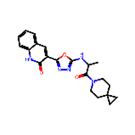 CC(Nc1nnc(-c2cc3ccccc3[nH]c2=O)o1)C(=O)N1CCC2(CC1)CC2